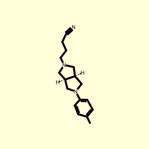 Cc1ccc(N2C[C@H]3CN(CCCC#N)C[C@H]3C2)cc1